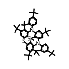 CC(C)(C)c1cc2c3c(c1)N1c4ccc(C(C)(C)C)cc4C(C)(C)c4c(C(C)(C)C)cc5c(c41)[Si]3(C)c1c(cc(C(C)(C)C)c3c1N2c1ccc(C(C)(C)C)cc1C3(C)C)S5